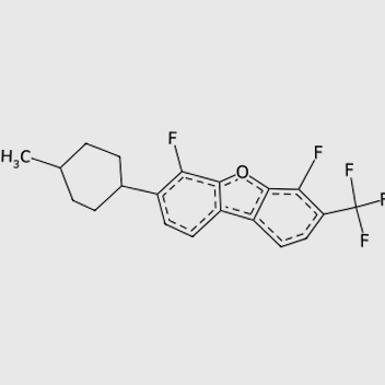 CC1CCC(c2ccc3c(oc4c(F)c(C(F)(F)F)ccc43)c2F)CC1